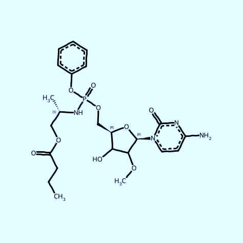 CCCC(=O)OC[C@H](C)NP(=O)(OC[C@H]1O[C@@H](n2ccc(N)nc2=O)C(OC)C1O)Oc1ccccc1